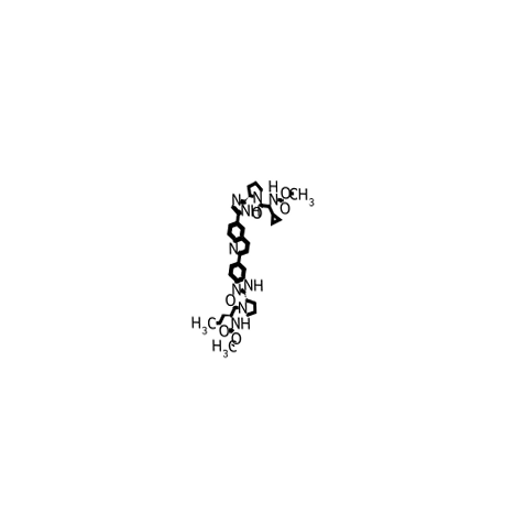 CCC[C@H](NC(=O)OC)C(=O)N1CCC[C@H]1c1nc2ccc(-c3ccc4cc(-c5cnc([C@@H]6CCCN6C(=O)[C@@H](NC(=O)OC)C6CC6)[nH]5)ccc4n3)cc2[nH]1